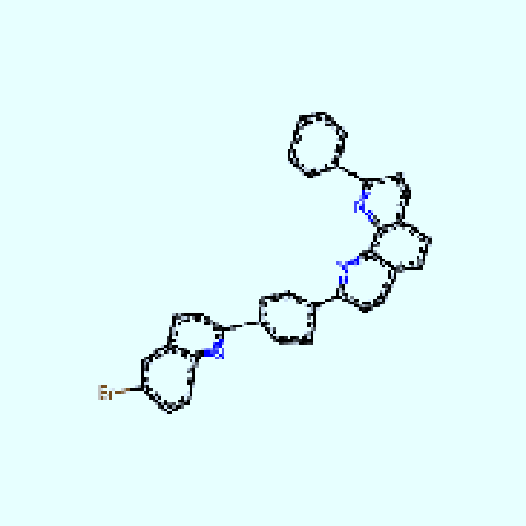 Brc1ccc2nc(-c3ccc(-c4ccc5ccc6ccc(-c7ccccc7)nc6c5n4)cc3)ccc2c1